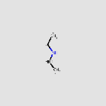 CBNCC